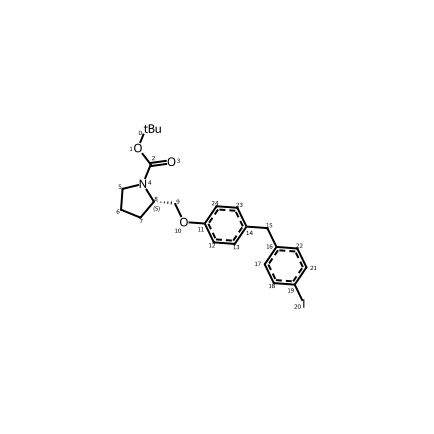 CC(C)(C)OC(=O)N1CCC[C@H]1COc1ccc(Cc2ccc(I)cc2)cc1